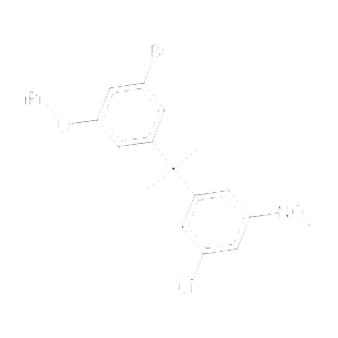 CC(C)Oc1cc(Br)cc(C(C)(C)c2cc(Cl)cc([N+](=O)[O-])c2)c1